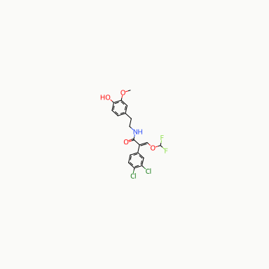 COc1cc(CCNC(=O)C(=COC(F)F)c2ccc(Cl)c(Cl)c2)ccc1O